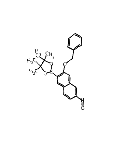 CC1(C)OB(c2cc3ccc(N=O)cc3cc2OCc2ccccc2)OC1(C)C